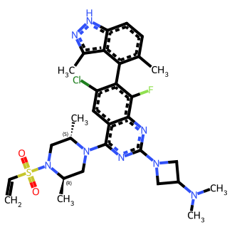 C=CS(=O)(=O)N1C[C@H](C)N(c2nc(N3CC(N(C)C)C3)nc3c(F)c(-c4c(C)ccc5[nH]nc(C)c45)c(Cl)cc23)C[C@H]1C